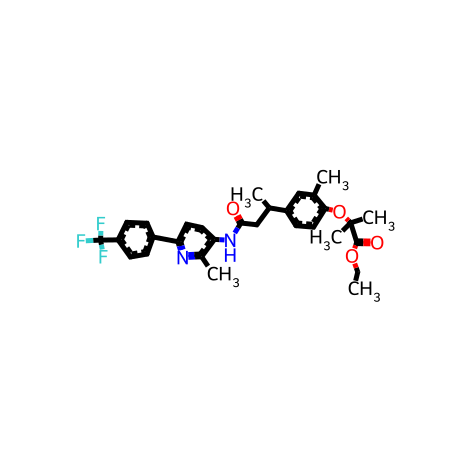 CCOC(=O)C(C)(C)Oc1ccc(C(C)CC(=O)Nc2ccc(-c3ccc(C(F)(F)F)cc3)nc2C)cc1C